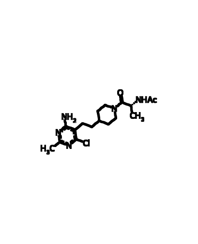 CC(=O)N[C@H](C)C(=O)N1CCC(CCc2c(N)nc(C)nc2Cl)CC1